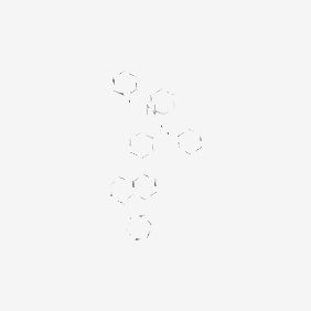 c1ccc(N(c2cccc(-c3ccc4c5c(cccc35)-c3ccccc3-4)c2)c2cccc(-c3ccccn3)n2)cc1